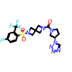 O=C(N1CC[C@@H](n2cnnn2)C1)N1CC2(C1)CN(S(=O)(=O)c1ccc(F)cc1C(F)(F)F)C2